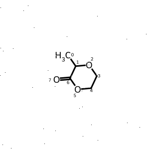 CC1OCCOC1=O